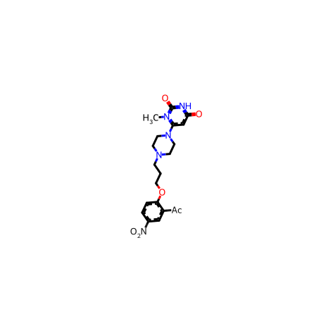 CC(=O)c1cc([N+](=O)[O-])ccc1OCCCN1CCN(c2cc(=O)[nH]c(=O)n2C)CC1